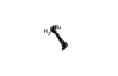 Cc1ccc(S(=O)(=O)OCCOCCOCCOCCCCCCC(N)C(=O)OC(C)(C)C)cc1